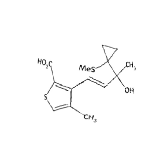 CSC1(C(C)(O)C=Cc2c(C)csc2C(=O)O)CC1